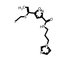 C/C=C(\SCI)c1cc(C(=O)NCCCn2ccnc2)no1